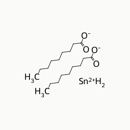 CCCCCCCCC(=O)[O-].CCCCCCCCC(=O)[O-].[SnH2+2]